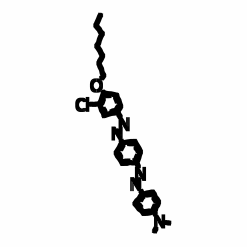 CCCCCCCOc1ccc(N=Nc2ccc(N=Nc3ccc(N(C)C)cc3)cc2)cc1Cl